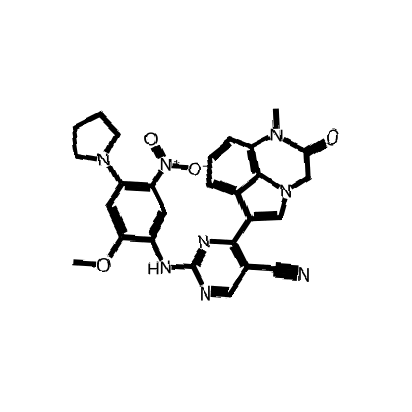 COc1cc(N2CCCC2)c([N+](=O)[O-])cc1Nc1ncc(C#N)c(-c2cn3c4c(cccc24)N(C)C(=O)C3)n1